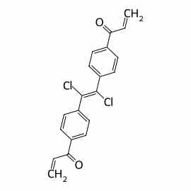 C=CC(=O)c1ccc(C(Cl)=C(Cl)c2ccc(C(=O)C=C)cc2)cc1